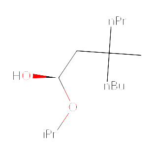 CCCCC(C)(CCC)[C@@H](C)[C@H](O)OC(C)C